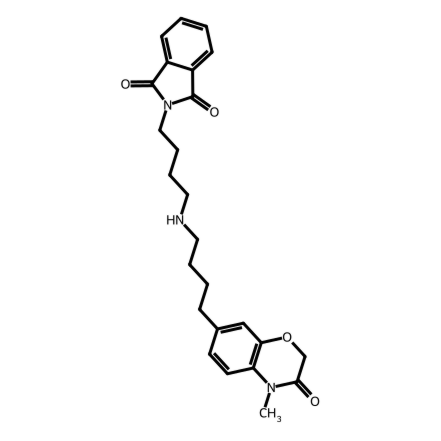 CN1C(=O)COc2cc(CCCCNCCCCN3C(=O)c4ccccc4C3=O)ccc21